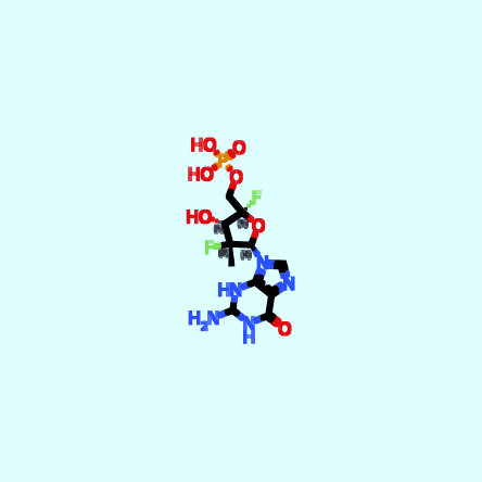 C[C@]1(F)[C@H](n2cnc3c2NC(N)NC3=O)O[C@](F)(COP(=O)(O)O)[C@H]1O